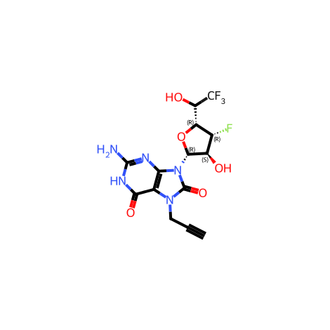 C#CCn1c(=O)n([C@@H]2O[C@H](C(O)C(F)(F)F)[C@H](F)[C@H]2O)c2nc(N)[nH]c(=O)c21